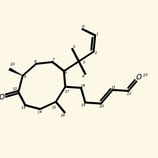 C/C=C\C(C)(C)C1CC[C@H](C)C(=O)CCC(C)C1CC/C=C/C=O